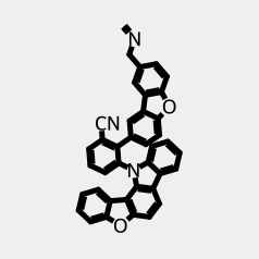 C=NCc1ccc2oc3ccc(-c4c(C#N)cccc4-n4c5ccccc5c5ccc6oc7ccccc7c6c54)cc3c2c1